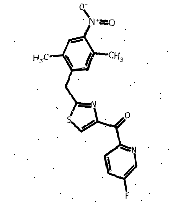 Cc1cc([N+](=O)[O-])c(C)cc1Cc1nc(C(=O)c2ccc(F)cn2)cs1